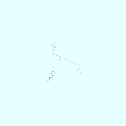 CC1=C(/C=C/C(C)=C\C=C\C(C)=C/C(=O)N(CCC(=O)OC2CC[C@@]3(C)C(=CC[C@H]4[C@@H]5CC[C@H]([C@H](C)CCCC(C)C)[C@@]5(C)CC[C@@H]43)C2)CCN(C)CCNC(=O)C(O)C(O)C(O[C@@H]2OC(CO)C(O)(O)C(O)C2O)C(O)CO)C(C)(C)CCC1